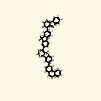 CC1(C)c2cc(-c3ncnc4c3oc3ccc(-c5ccc6ccc7ccccc7c6c5)cc34)ccc2-c2ccc(-c3cccc4c3sc3ccccc34)cc21